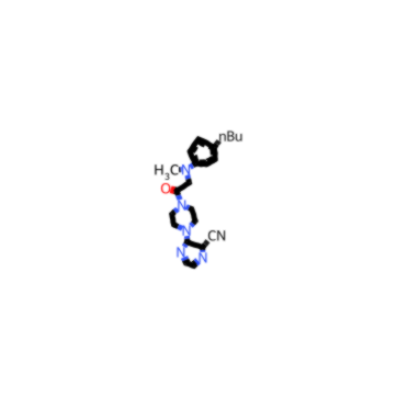 CCCCc1ccc(N(C)CC(=O)N2CCN(C3N=CC=NC3C#N)CC2)cc1